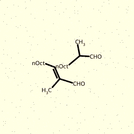 CCCCCCCCC(C)C=O.CCCCCCCCC=C(C)C=O